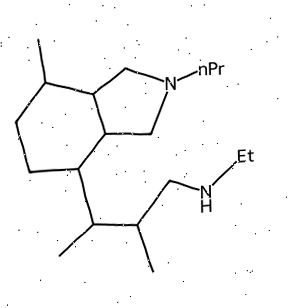 CCCN1CC2C(C)CCC(C(C)C(C)CNCC)C2C1